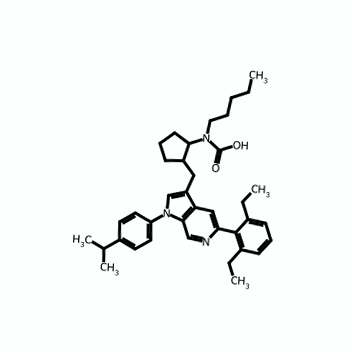 CCCCCN(C(=O)O)C1CCCC1Cc1cn(-c2ccc(C(C)C)cc2)c2cnc(-c3c(CC)cccc3CC)cc12